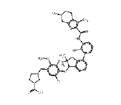 COc1c(CN2CCC(C(=O)O)C2)cc(Cl)c(OC2c3cccc(-c4cccc(NC(=O)c5nc6c(n5C)CCN(C)C6)c4Cl)c3CC2(C)C)c1F